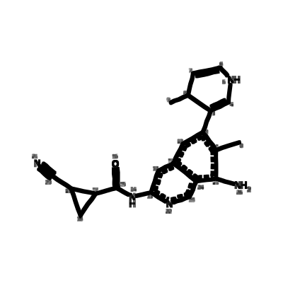 Cc1c(C2=CNC=CC2C)cc2cc(NC(=O)C3CC3C#N)ncc2c1N